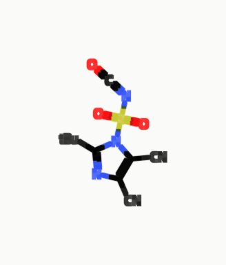 CC(C)(C)c1nc(C#N)c(C#N)n1S(=O)(=O)N=C=O